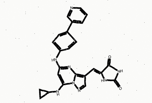 O=C1NC(=O)/C(=C/c2cnn3c(NC4CC4)cc(Nc4ccc(-c5cccnc5)cc4)nc23)N1